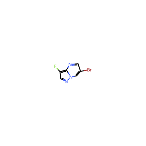 Fc1cnn2cc(Br)cnc12